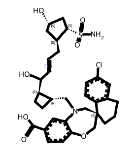 NS(=O)(=O)[C@H]1C[C@@H](O)C[C@@H]1C/C=C/C(O)[C@@H]1CC[C@H]1CN1C[C@@]2(CCCc3cc(Cl)ccc32)COc2ccc(C(=O)O)cc21